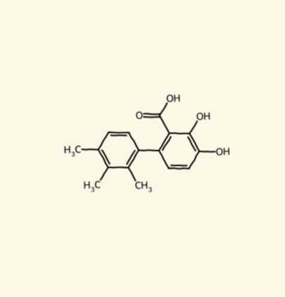 Cc1ccc(-c2ccc(O)c(O)c2C(=O)O)c(C)c1C